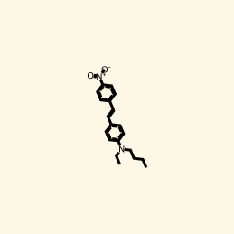 CCCCN(CC)c1ccc(C=Cc2ccc([N+](=O)[O-])cc2)cc1